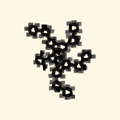 Fc1cccc(F)c1-c1cc(-n2c3ccc(-c4ccnc(-c5ccccc5)c4)cc3c3cc(-c4ccnc(-c5ccccc5)c4)ccc32)c(C(F)(F)F)c(-n2c3ccc(-c4ccnc(-c5ccccc5)c4)cc3c3cc(-c4ccnc(-c5ccccc5)c4)ccc32)c1